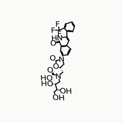 O=C(O)N(C[C@H]1CN(c2ccc3cc(-c4ccccc4C(F)(F)F)[nH]c(=O)c3c2)C(=O)O1)C[C@@H](O)[C@@H](O)CO